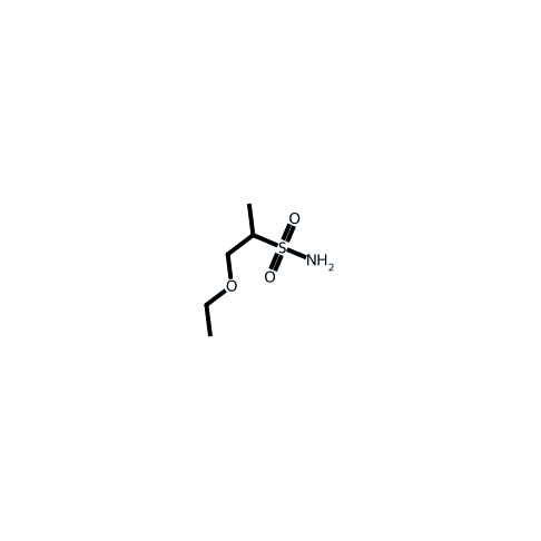 CCOCC(C)S(N)(=O)=O